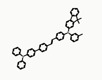 Cc1cccc(N(c2ccc(/C=C/c3ccc(-c4ccc(N(c5ccccc5)c5ccccc5)cc4)cc3)cc2)c2ccc3c(c2)C(C)(C)c2ccccc2-3)c1